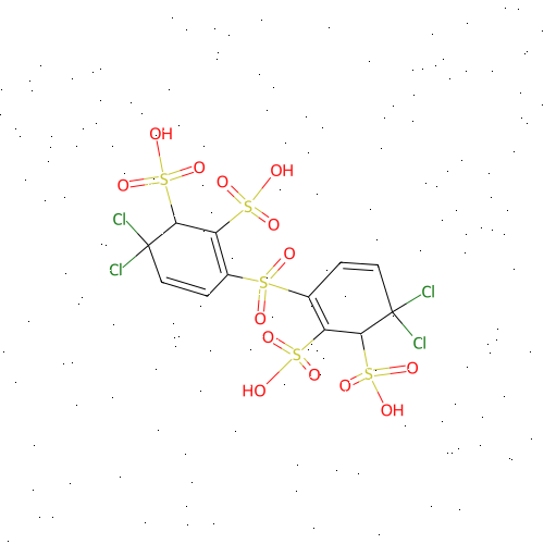 O=S(=O)(O)C1=C(S(=O)(=O)C2=C(S(=O)(=O)O)C(S(=O)(=O)O)C(Cl)(Cl)C=C2)C=CC(Cl)(Cl)C1S(=O)(=O)O